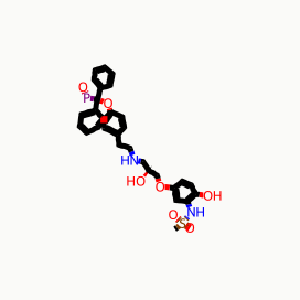 CS(=O)(=O)Nc1cc(OC[C@@H](O)CNCCc2ccc(OC(P=O)(c3ccccc3)c3ccccc3)cc2)ccc1O